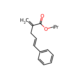 C=C(CC=Cc1ccccc1)C(=O)OC(C)C